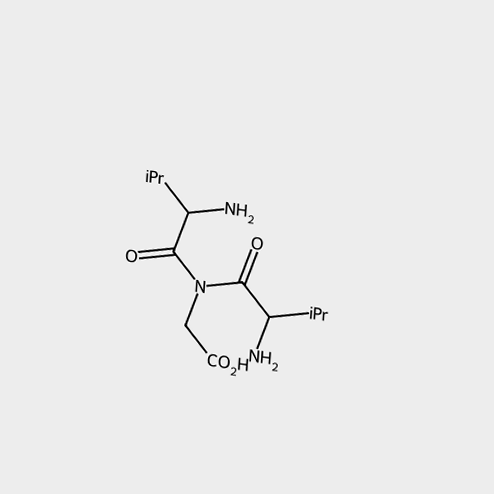 CC(C)C(N)C(=O)N(CC(=O)O)C(=O)C(N)C(C)C